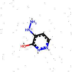 NNc1ccnnc1O